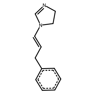 C(=CN1C=NCC1)Cc1ccccc1